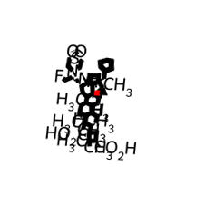 CC1(C)[C@H]2CC[C@]3(C)[C@H](CC[C@@H]4[C@H]5[C@@](NC[C@H](CF)N6CCS(=O)(=O)CC6)(CC[C@]5(Cc5ccccc5)C5(C)CC5)CC[C@]43C)[C@]2(C)CC[C@@H]1[C@@]1(C(=O)O)C[C@@H](C(=O)O)C1(C)C